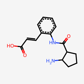 NC1CCCC1C(=O)Nc1ccccc1C=CC(=O)O